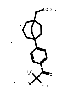 CC(C)(Br)C(=O)c1ccc(C23CCCC(CC(=O)O)(CC2)CC3)cc1